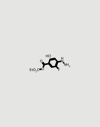 CCOC(=O)OC(=O)c1ccc(NN)c(F)c1.Cl